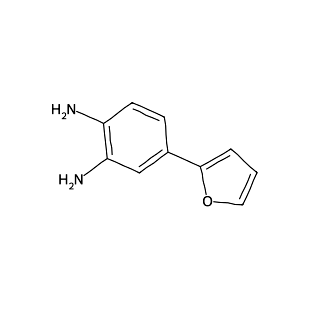 Nc1ccc(-c2ccco2)cc1N